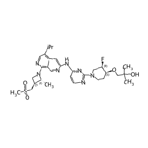 CC(C)c1cnc(N2C[C@H](CS(C)(=O)=O)[C@H]2C)c2cnc(Nc3ccnc(N4CC[C@H](OCC(C)(C)O)[C@H](F)C4)n3)cc12